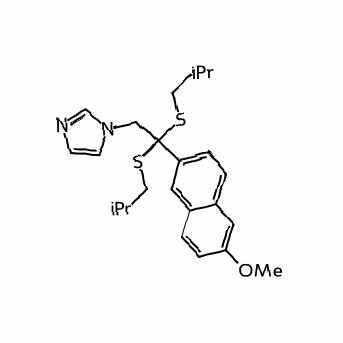 COc1ccc2cc(C(Cn3ccnc3)(SCC(C)C)SCC(C)C)ccc2c1